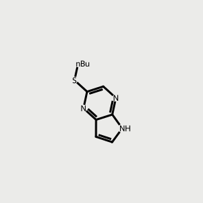 CCCCSc1cnc2[nH]ccc2n1